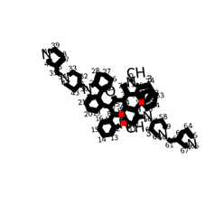 Cn1cc(C(C(=O)C(c2cn(C)c3ccccc23)c2cccc3c2c2ccccc2n3C2CCN(Cc3cccnc3)CC2)c2cccc3c2c2ccccc2n3C2CCN(Cc3cccnc3)CC2)c2ccccc21